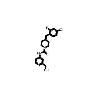 O=C(Nc1ccnc(CO)c1)N1CCC(=Cc2ccc(Cl)cc2F)CC1